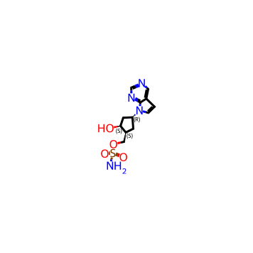 NS(=O)(=O)OC[C@@H]1C[C@@H](n2ccc3cncnc32)C[C@@H]1O